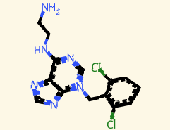 NCCNc1ncn(Cc2c(Cl)cccc2Cl)c2ncnc1-2